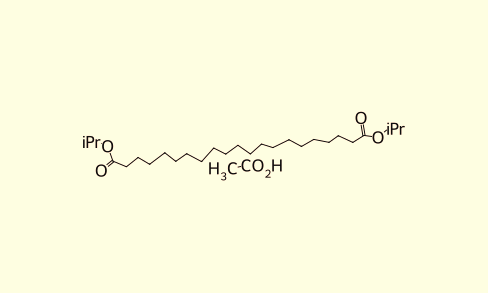 CC(=O)O.CC(C)OC(=O)CCCCCCCCCCCCCCCCCCCC(=O)OC(C)C